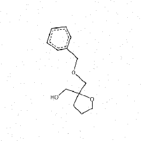 OCC1(COCc2ccccc2)CCCO1